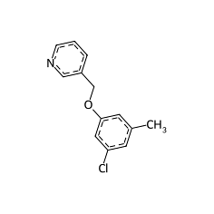 Cc1cc(Cl)cc(OCc2cccnc2)c1